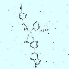 Cl.Cl.N#Cc1ccc(CCN[C@H](c2ccccc2)[C@@H]2CNc3cc(-c4cnc5[nH]ccc5c4)cnc3O2)cc1